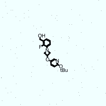 CC(C)(C)Oc1ccc(OC2CN(c3cccc(CO)c3F)C2)cn1